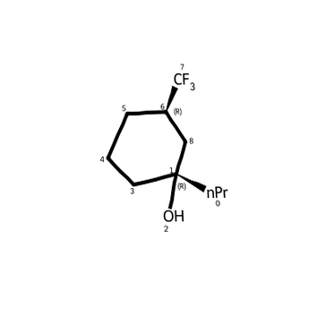 CCC[C@@]1(O)CCC[C@@H](C(F)(F)F)C1